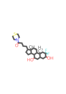 CC12CCC3C(C(O)CC4CC(O)C(F)(F)CC43C)C1CCC2CCCC(=O)N1CCSCC1